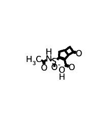 CC(=O)N[S+]([O-])C1=C(C(=O)O)C2C(=O)CC2C1